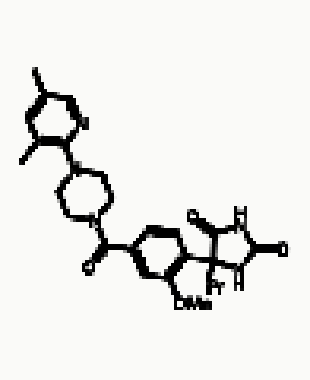 COc1cc(C(=O)N2CCN(c3ncc(C)cc3C)CC2)ccc1C1(C(C)C)NC(=O)NC1=O